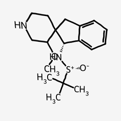 COC1CNCCC12Cc1ccccc1[C@@H]2N[S@+]([O-])C(C)(C)C